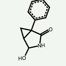 O=C1NC(O)C2CC12c1ccccc1